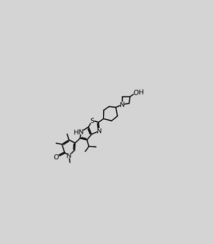 Cc1c(-c2[nH]c3sc(C4CCC(N5CC(O)C5)CC4)nc3c2C(C)C)cn(C)c(=O)c1C